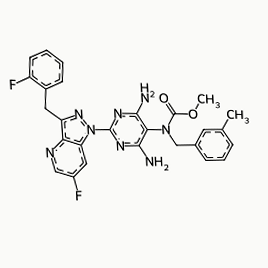 COC(=O)N(Cc1cccc(C)c1)c1c(N)nc(-n2nc(Cc3ccccc3F)c3ncc(F)cc32)nc1N